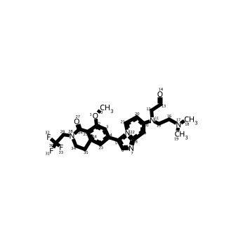 COc1cc(-c2cnc3cc(N(CC=O)CCN(C)C)ccn23)cc2c1C(=O)N(CC(F)(F)F)CC2